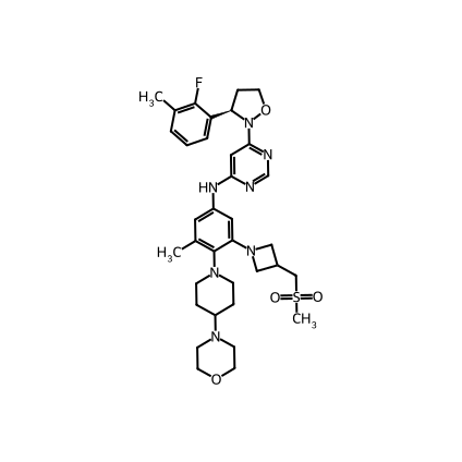 Cc1cccc([C@H]2CCON2c2cc(Nc3cc(C)c(N4CCC(N5CCOCC5)CC4)c(N4CC(CS(C)(=O)=O)C4)c3)ncn2)c1F